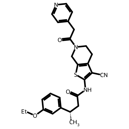 CCOc1cccc([C@@H](C)CC(=O)Nc2sc3c(c2C#N)CCN(C(=O)Cc2ccncc2)C3)c1